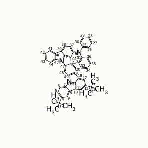 CC(C)(C)c1ccc2c(c1)c1cc(C(C)(C)C)cc3c4cc5c6c(N(c7ccccc7)c7ccccc7)ccc7c8ccccc8n(c5cc4n2c13)c76